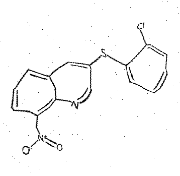 O=[N+]([O-])c1cccc2cc(Sc3ccccc3Cl)cnc12